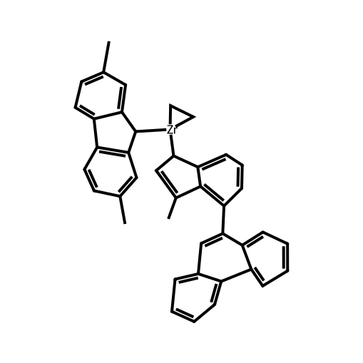 CC1=C[CH]([Zr]2([CH]3c4cc(C)ccc4-c4ccc(C)cc43)[CH2][CH2]2)c2cccc(-c3cc4ccccc4c4ccccc34)c21